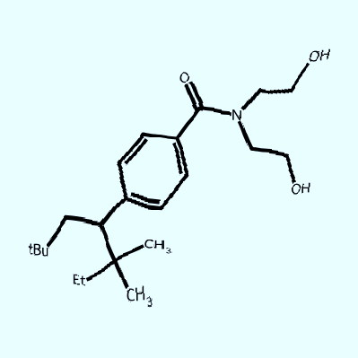 CCC(C)(C)C(CC(C)(C)C)c1ccc(C(=O)N(CCO)CCO)cc1